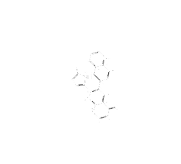 Cc1ccc(-c2nc3[nH]ccc(=O)c3cc2-c2ccc3ncccc3c2)[nH]1